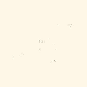 COc1ccc(Cc2sc3c(c2C(=O)N[C@@H](C)c2ccc(C(=O)O)cc2)CCOC3)cc1